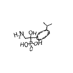 CC(C)c1cccc(C(O)(CN)P(=O)(O)O)c1